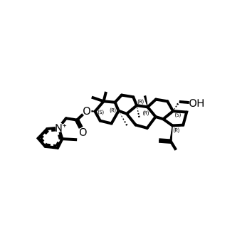 C=C(C)[C@@H]1CC[C@]2(CO)CC[C@]3(C)C(CCC4[C@@]5(C)CC[C@H](OC(=O)C[n+]6ccccc6C)C(C)(C)C5CC[C@]43C)C12